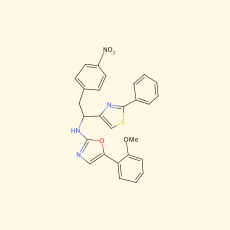 COc1ccccc1-c1cnc(NC(Cc2ccc([N+](=O)[O-])cc2)c2csc(-c3ccccc3)n2)o1